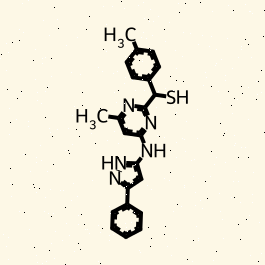 Cc1ccc(C(S)c2nc(C)cc(Nc3cc(-c4ccccc4)n[nH]3)n2)cc1